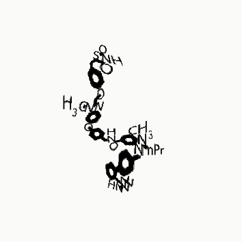 CCCc1nc2c(C)cc(C(=O)NCc3ccc(Oc4ccc5nc(COc6ccc(CC7SC(=O)NC7=O)cc6)n(C)c5c4)cc3)cc2n1Cc1ccc(-c2ccccc2-c2nnn[nH]2)cc1